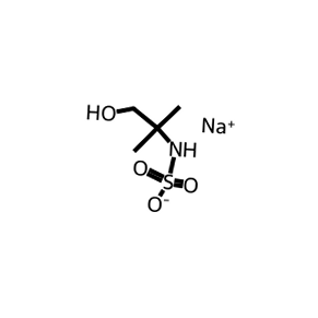 CC(C)(CO)NS(=O)(=O)[O-].[Na+]